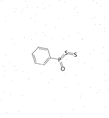 O=P(=S=S)c1ccccc1